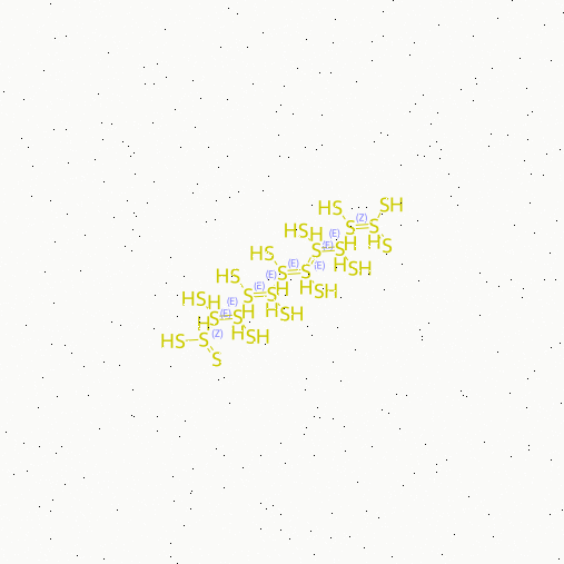 S=[SH](/S)=[SH](/S)=[SH](\S)=[SH](/S)=[SH](\S)=[SH](/S)=[SH](\S)=[SH](/S)=[SH](\S)=[SH](/S)=[SH](=S)/S